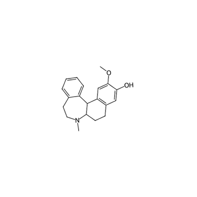 COc1cc2c(cc1O)CCC1C2c2ccccc2CCN1C